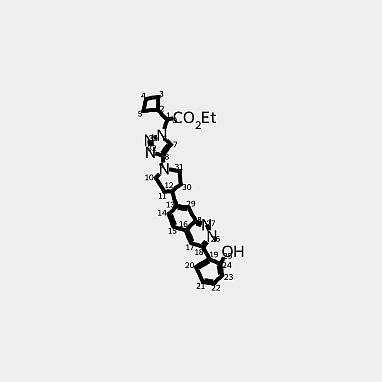 CCOC(=O)C(C1CCC1)n1cc(N2CCC(c3ccc4cc(-c5ccccc5O)nnc4c3)CC2)nn1